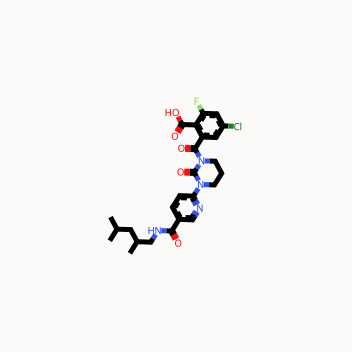 CC(C)CC(C)CNC(=O)c1ccc(N2CCCN(C(=O)c3cc(Cl)cc(F)c3C(=O)O)C2=O)nc1